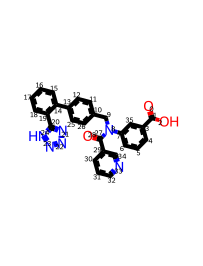 O=C(O)c1cccc(N(Cc2ccc(-c3ccccc3-c3nnn[nH]3)cc2)C(=O)c2cccnc2)c1